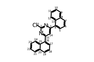 Clc1nc(-c2cccc3ccccc23)cc(-c2cccc3ccccc23)n1